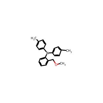 COCc1cccc[c]1[Bi]([c]1ccc(C)cc1)[c]1ccc(C)cc1